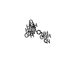 O=C(Nc1ccc(-c2nc(N3[C@@H]4COC[C@H]3[C@H](F)C4)nc(N3[C@@H]4COC[C@H]3[C@H](F)C4)n2)cc1)Nc1cccnc1